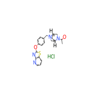 CC(=O)N1C[C@@H]2C[C@H]1CN2Cc1ccc(Oc2nc3ncccc3s2)cc1.Cl